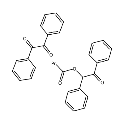 CC(C)C(=O)OC(C(=O)c1ccccc1)c1ccccc1.O=C(C(=O)c1ccccc1)c1ccccc1